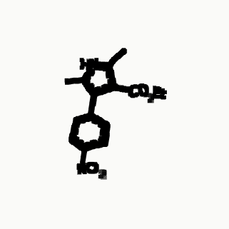 CCOC(=O)c1c(C)[nH]c(C)c1-c1ccc([N+](=O)[O-])cc1